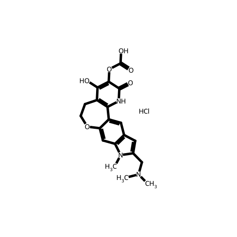 CN(C)Cc1cc2cc3c(cc2n1C)OCCc1c-3[nH]c(=O)c(OC(=O)O)c1O.Cl